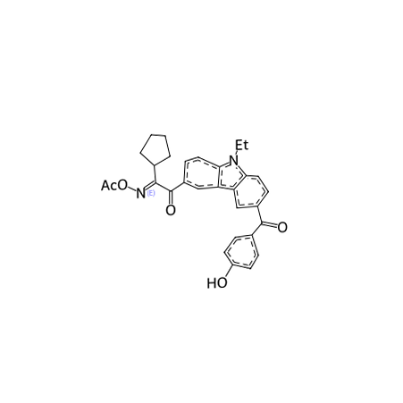 CCn1c2ccc(C(=O)/C(=N/OC(C)=O)C3CCCC3)cc2c2cc(C(=O)c3ccc(O)cc3)ccc21